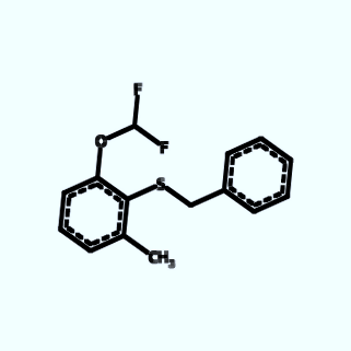 Cc1cccc(OC(F)F)c1SCc1ccccc1